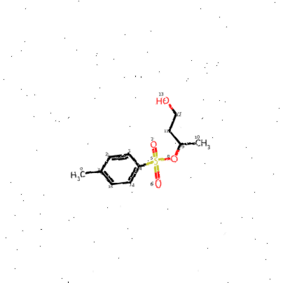 Cc1ccc(S(=O)(=O)OC(C)CCO)cc1